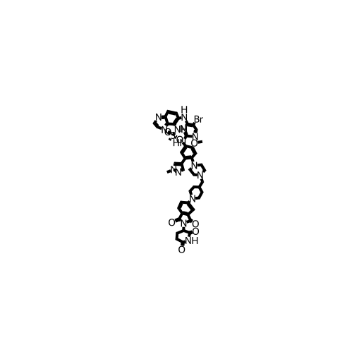 COc1cc(N2CCN(CC3CCN(c4ccc5c(c4)C(=O)N(C4CCC(=O)NC4=O)C5=O)CC3)CC2)c(-c2cnn(C)c2)cc1Nc1ncc(Br)c(Nc2ccc3nccnc3c2NS(C)(=O)=O)n1